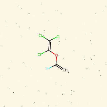 C=C(F)OC(Cl)=C(Cl)Cl